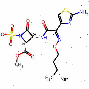 CCCCON=C(C(=O)N[C@H]1C(=O)N(S(=O)(=O)[O-])[C@H]1C(=O)OC)c1csc(N)n1.[Na+]